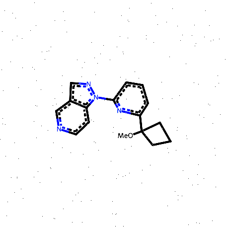 COC1(c2cccc(-n3ncc4cnccc43)n2)CCC1